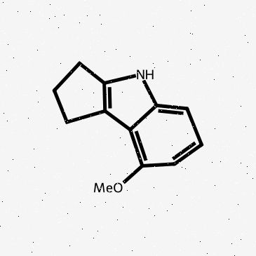 COc1cccc2[nH]c3c(c12)CCC3